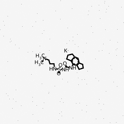 CN(C)CCCNS(=O)(=O)NC(=O)Nc1c2c(cc3c1CCC3)CCC2.[K]